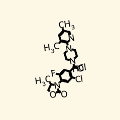 Cc1cnc(N2CCN(C(=O)c3cc(F)c(N4C(=O)OCC4C)cc3Cl)CC2)c(C)c1.Cl